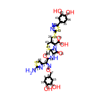 Nc1nc(C(=NOCc2ccc(O)c(O)c2)C(=O)N[C@@H]2C(=O)N3C(C(=O)O)=C(CSc4nnc(-c5ccc(O)c(O)c5)s4)CS[C@@H]23)cs1